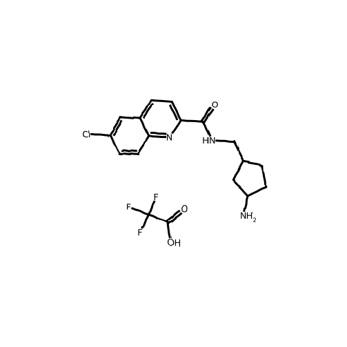 NC1CCC(CNC(=O)c2ccc3cc(Cl)ccc3n2)C1.O=C(O)C(F)(F)F